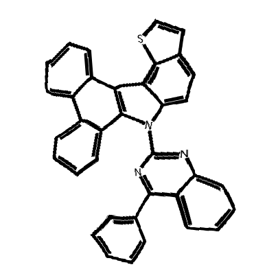 c1ccc(-c2nc(-n3c4ccc5ccsc5c4c4c5ccccc5c5ccccc5c43)nc3ccccc23)cc1